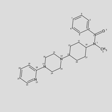 CN(C(=O)c1ccccc1)C1CCC(N2CCN(c3ccccn3)CC2)CC1